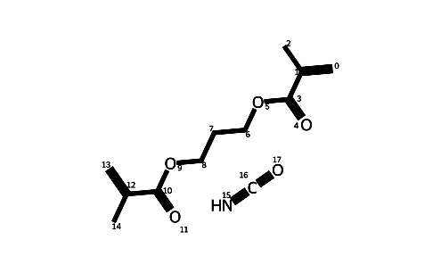 C=C(C)C(=O)OCCCOC(=O)C(=C)C.N=C=O